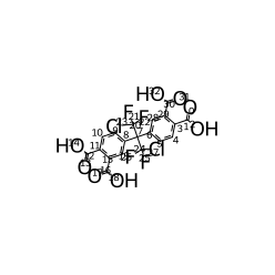 O=C(O)c1ccc(C(c2ccc(C(=O)O)c(C(=O)O)c2)(C(F)(F)Cl)C(F)(F)Cl)cc1C(=O)O